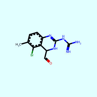 Cc1ccc2c(c1Br)C(C=O)NC(NC(=N)N)=N2